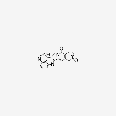 O=C1Cc2cc3n(c(=O)c2CO1)Cc1c-3nc2cccc3c2c1NC=N3